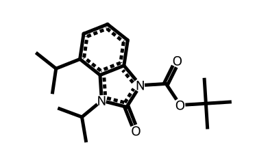 CC(C)c1cccc2c1n(C(C)C)c(=O)n2C(=O)OC(C)(C)C